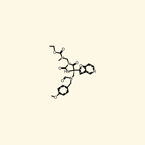 CCOC(=O)N(C)CN1C(=O)N[C@@](CN(C=O)Cc2ccc(OC)cc2)(c2cc3cnccc3o2)C1=O